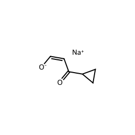 O=C(/C=C\[O-])C1CC1.[Na+]